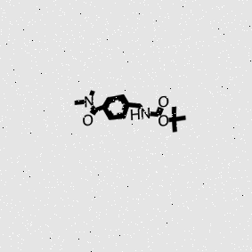 CN(C)C(=O)c1ccc(CNC(=O)OC(C)(C)C)cc1